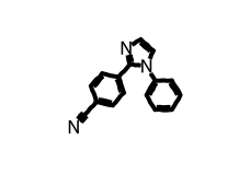 N#Cc1ccc(-c2nccn2-c2ccccc2)cc1